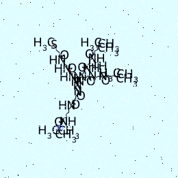 CSCCCCCC(=O)NCCCNC(=O)CCNc1nc(N(CCC(=O)NCCCNC(=O)CCCCC(C)(C)C)CCC(=O)NCCCNC(=O)CCCCC(C)(C)C)nc(N2CCN(C(=O)CCCC(=O)NCCCCCCNC(=O)/C=C/C(C)(C)C)CC2)n1